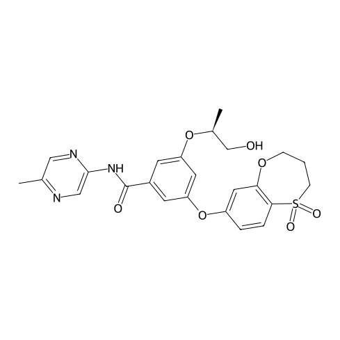 Cc1cnc(NC(=O)c2cc(Oc3ccc4c(c3)OCCCS4(=O)=O)cc(O[C@@H](C)CO)c2)cn1